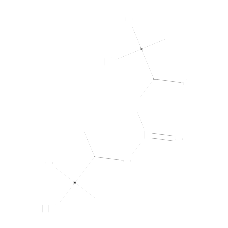 O=[PH](OC(Cl)C(O)(O)O)OC(Cl)C(O)(O)O